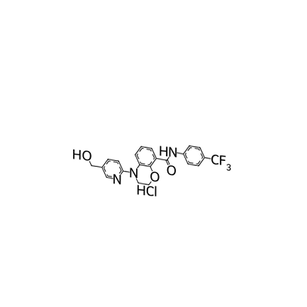 Cl.O=C(Nc1ccc(C(F)(F)F)cc1)c1cccc2c1OCCN2c1ccc(CO)cn1